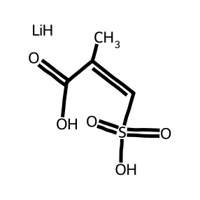 CC(=CS(=O)(=O)O)C(=O)O.[LiH]